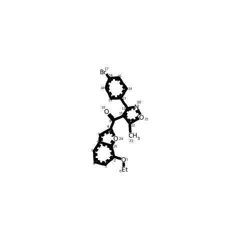 CCOc1cccc2cc(C(=O)c3c(-c4ccc(Br)cc4)noc3C)oc12